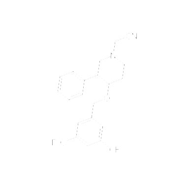 N#CCN1CCC(OCc2cc(C(F)(F)F)cc(C(F)(F)F)c2)C(c2ccccc2)C1